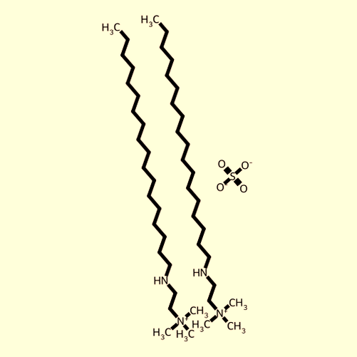 CCCCCCCCCCCCCCCCCCNCC[N+](C)(C)C.CCCCCCCCCCCCCCCCCCNCC[N+](C)(C)C.O=S(=O)([O-])[O-]